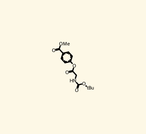 [CH2]OC(=O)c1ccc(OC(=O)CNC(=O)OC(C)(C)C)cc1